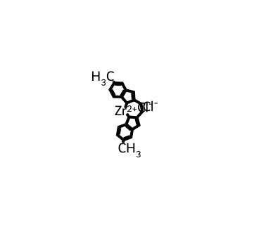 Cc1ccc2c(c1)C=C1CCC3=Cc4cc(C)ccc4[CH]3[Zr+2][CH]12.[Cl-].[Cl-]